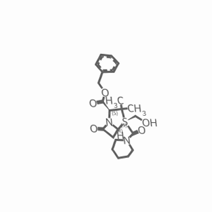 CC1(C)[C@H](C(=O)OCc2ccccc2)N2C(=O)C[C@H]2[S@@]1(CO)C(=O)N1CCCCC1